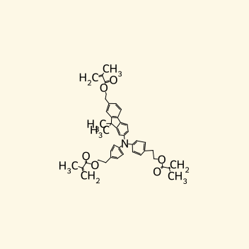 C=C(C)C(=O)OCCc1ccc(N(c2ccc(CCOC(=O)C(=C)C)cc2)c2ccc3c(c2)C(C)(C)c2cc(CCOC(=O)C(=C)C)ccc2-3)cc1